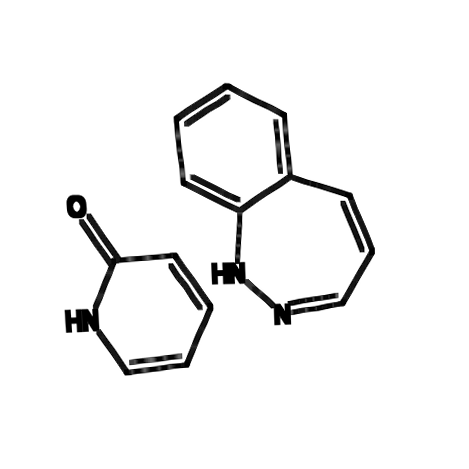 C1=Cc2ccccc2NN=C1.O=c1cccc[nH]1